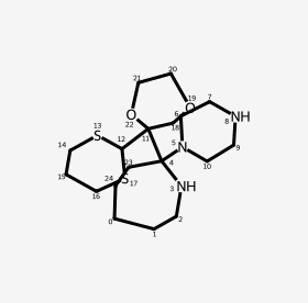 C1CCNC(N2CCNCC2)(C2(C3SCCCS3)COCCO2)CC1